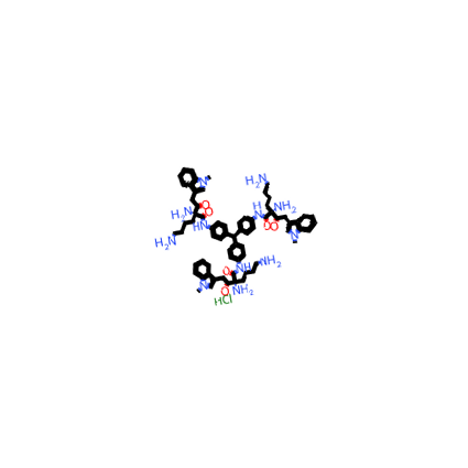 Cl.Cn1cc(CC(=O)[C@](N)(CCCCN)C(=O)Nc2ccc(C(c3ccc(NC(=O)[C@@](N)(CCCCN)C(=O)Cc4cn(C)c5ccccc45)cc3)c3ccc(NC(=O)[C@@](N)(CCCCN)C(=O)Cc4cn(C)c5ccccc45)cc3)cc2)c2ccccc21